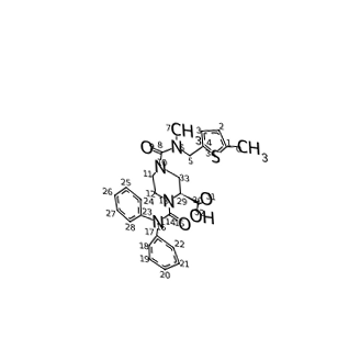 Cc1ccc(CN(C)C(=O)N2CCN(C(=O)N(c3ccccc3)c3ccccc3)[C@H](C(=O)O)C2)s1